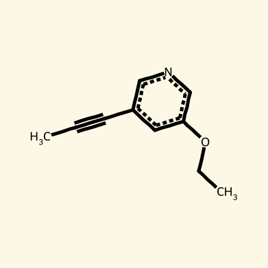 CC#Cc1cncc(OCC)c1